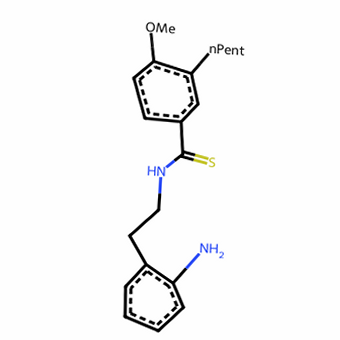 CCCCCc1cc(C(=S)NCCc2ccccc2N)ccc1OC